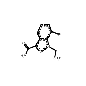 NC(=O)c1nn(CC(=O)O)c2c(Br)cccc12